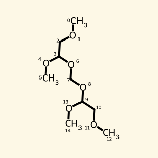 COCC(OC)OCOC(COC)OC